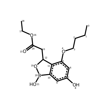 CCCCOc1cc(O)cc2c1C(CC(=O)OCC)OB2O